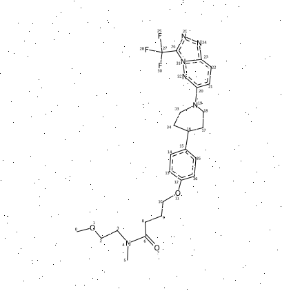 COCCN(C)C(=O)CCCOc1ccc(C2CCN(c3ccc4nnc(C(F)(F)F)n4n3)CC2)cc1